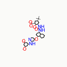 COC(=O)c1cc(C(C)(C)C)cc(NC(=O)Nc2ccc(Oc3ccnc(Nc4cc(OC)cc(OC)c4)c3)c3ccccc23)c1OC